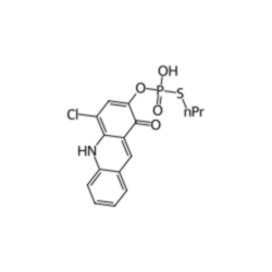 CCCSP(=O)(O)Oc1cc(Cl)c2[nH]c3ccccc3cc-2c1=O